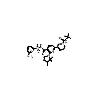 CC1CCN(c2nc(C3=CCCN(C(=O)NC(C)(C)C)C3)ccc2C(=O)NS(=O)(=O)c2cccc(N)n2)C1(C)C